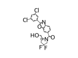 O=C(c1ccc2nc(-c3cc(Cl)cc(Cl)c3)oc2c1)N1CC(F)(F)C[C@H]1CO